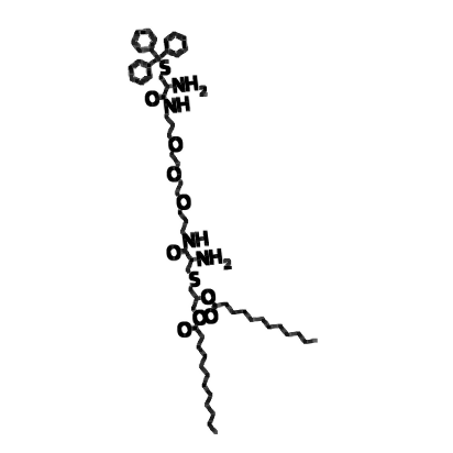 CCCCCCCCCCCC(=O)OCC(CSCC(N)C(=O)NCCCOCCOCCOCCCNC(=O)C(N)CSC(c1ccccc1)(c1ccccc1)c1ccccc1)OC(=O)CCCCCCCCCCC